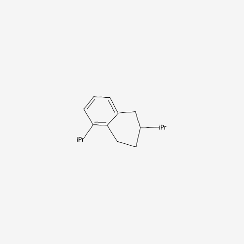 CC(C)c1cccc2c1CCC(C(C)C)C2